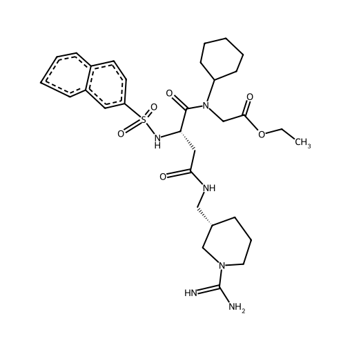 CCOC(=O)CN(C(=O)[C@H](CC(=O)NC[C@@H]1CCCN(C(=N)N)C1)NS(=O)(=O)c1ccc2ccccc2c1)C1CCCCC1